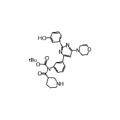 CC(C)(C)OC(=O)N(C(=O)C1CCCNC1)c1cccc(-c2cc(N3CCOCC3)nc(-c3cccc(O)c3)n2)c1